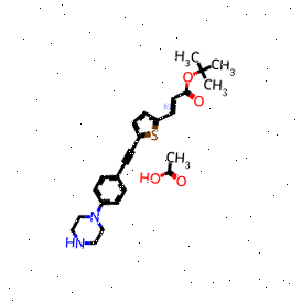 CC(=O)O.CC(C)(C)OC(=O)/C=C/c1ccc(C#Cc2ccc(N3CCNCC3)cc2)s1